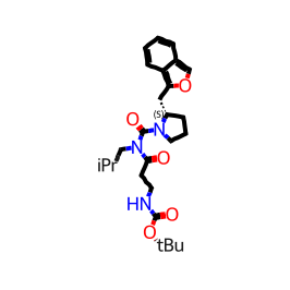 CC(C)CN(C(=O)CCNC(=O)OC(C)(C)C)C(=O)N1CCC[C@H]1Cc1occ2ccccc12